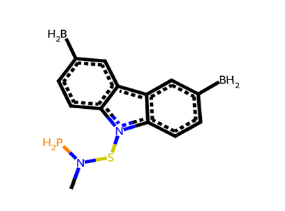 Bc1ccc2c(c1)c1cc(B)ccc1n2SN(C)P